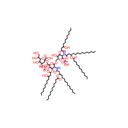 CCCCCCCCCCCC(=O)O[C@H](CCCCCCCCCCC)CC(=O)NC1[C@@H](OP(C)(=O)O)OC(CO[C@@H]2OC(CO[C@]3(C(=O)O)C[C@@H](O)[C@@H](O)C([C@H](O)CO)O3)[C@@H](OP(=O)(O)O)[C@H](OC(=O)C[C@H](O)CCCCCCCCC)C2NC(=O)C[C@@H](CCCCCCCCCCC)OC(=O)CCCCCCCCCCC)[C@@H](O)[C@@H]1OC(=O)C[C@H](O)CCCCCCCCC